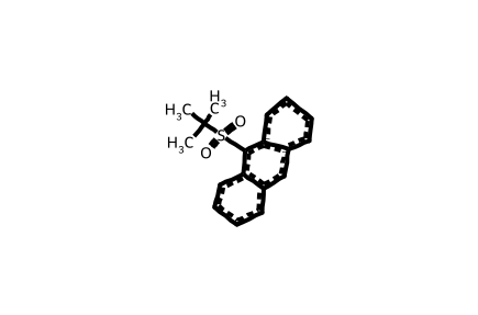 CC(C)(C)S(=O)(=O)c1c2ccccc2cc2ccccc12